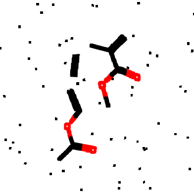 C=C.C=C(C)C(=O)OC.C=COC(C)=O